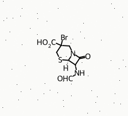 O=CNC1C(=O)N2CC(Br)(C(=O)O)CS[C@H]12